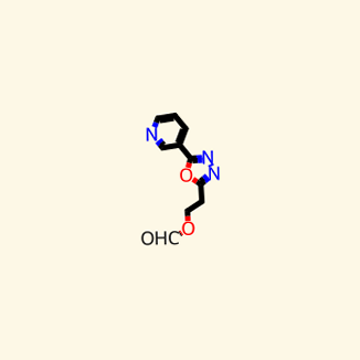 O=COCCc1nnc(-c2cccnc2)o1